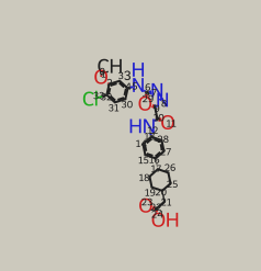 COc1cc(Nc2nnc(C(=O)Nc3ccc([C@H]4CC[C@H](CC(=O)O)CC4)cc3)o2)ccc1Cl